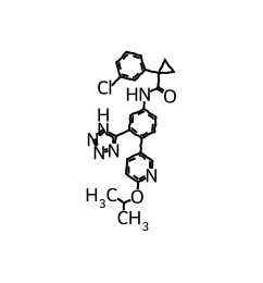 CC(C)Oc1ccc(-c2ccc(NC(=O)C3(c4cccc(Cl)c4)CC3)cc2-c2nnn[nH]2)cn1